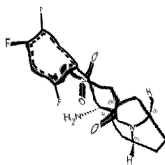 CS(=O)(=O)CC(=O)N1[C@@H]2CC[C@H]1C[C@H]([C@H](N)Cc1cc(F)c(F)cc1F)C2